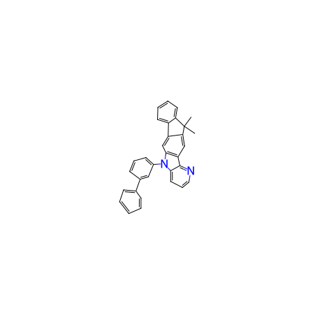 CC1(C)c2ccccc2-c2cc3c(cc21)c1ncccc1n3-c1cccc(-c2ccccc2)c1